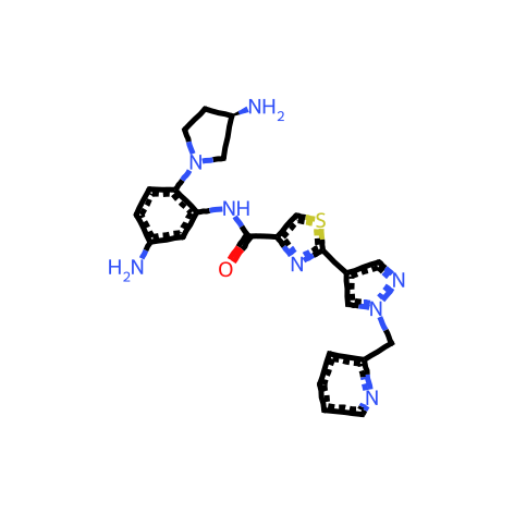 Nc1ccc(N2CC[C@@H](N)C2)c(NC(=O)c2csc(-c3cnn(Cc4ccccn4)c3)n2)c1